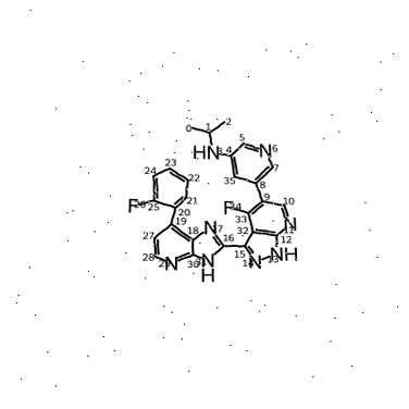 CC(C)Nc1cncc(-c2cnc3[nH]nc(-c4nc5c(-c6ccccc6F)ccnc5[nH]4)c3c2F)c1